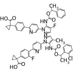 CC(OC(=O)Nc1c(F)cnn1-c1ccc(-c2ccc(C3(C(=O)O)CC3)cc2)nc1)c1ccccc1.Cc1cnn(-c2ccc(-c3ccc(C4(C(=O)O)CC4)cc3F)nc2)c1NC(=O)OC(C)c1ccccc1Cl